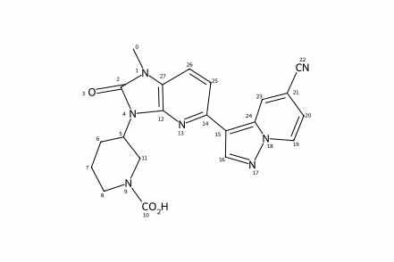 Cn1c(=O)n(C2CCCN(C(=O)O)C2)c2nc(-c3cnn4ccc(C#N)cc34)ccc21